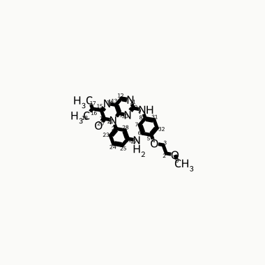 COCCOc1ccc(Nc2ncc3nc(C(C)C)c(=O)n(-c4cccc(N)c4)c3n2)cc1